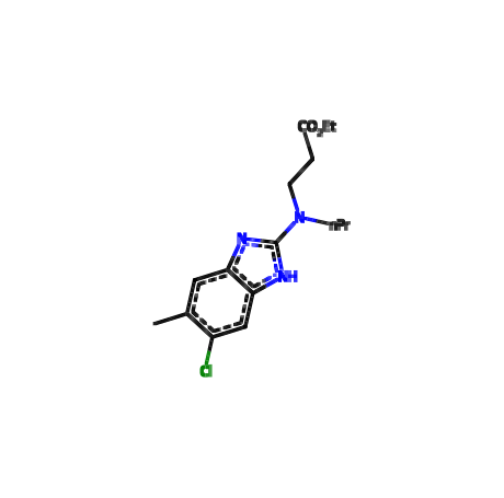 CCCN(CCC(=O)OCC)c1nc2cc(C)c(Cl)cc2[nH]1